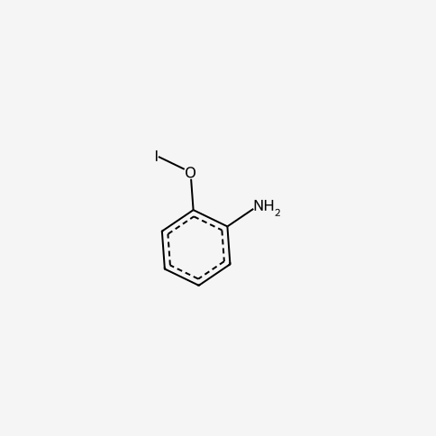 Nc1ccccc1OI